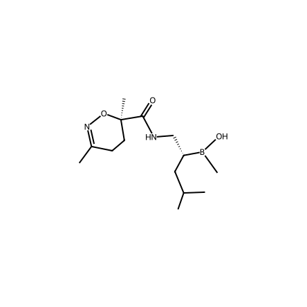 CB(O)[C@@H](CNC(=O)[C@@]1(C)CCC(C)=NO1)CC(C)C